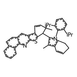 Cc1c2c(n(-c3c(C(C)C)cccc3C(C)C)c1C1c3sc4nc5c(ccc6ccccc65)cc4c3C=CC1(C)C)CCC=C2